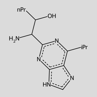 CCCC(O)C(N)c1nc(C(C)C)c2nc[nH]c2n1